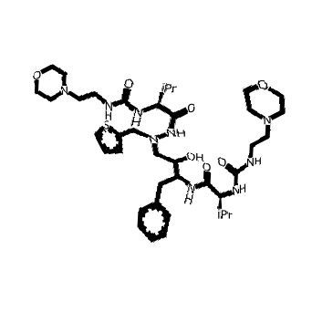 CC(C)[C@H](NC(=O)NCCN1CCOCC1)C(=O)NC(Cc1ccccc1)C(O)CN(Cc1cccs1)NC(=O)[C@@H](NC(=O)NCCN1CCOCC1)C(C)C